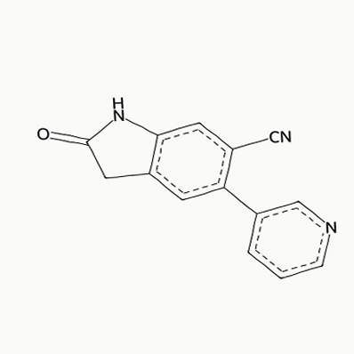 N#Cc1cc2c(cc1-c1cccnc1)CC(=O)N2